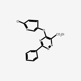 CCOC(=O)c1nnc(-c2ccccc2)nc1Oc1ccc(Cl)nc1